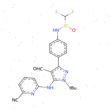 CC(C)(C)n1nc(-c2ccc(N[S+]([O-])C(F)F)cc2)c(C=O)c1Nc1cccc(C#N)n1